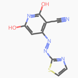 N#Cc1c(N=Nc2nccs2)cc(O)nc1O